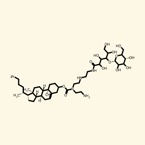 CC(C)CCC[C@@H](C)[C@H]1CC[C@H]2[C@@H]3CC=C4CC(OC(=O)N(CCN)CCNCCNC(=O)C(O)C(O)C(O[C@@H]5OC(CO)[C@H](O)C(O)C5O)C(O)CO)CC[C@]4(C)[C@H]3CC[C@]12C